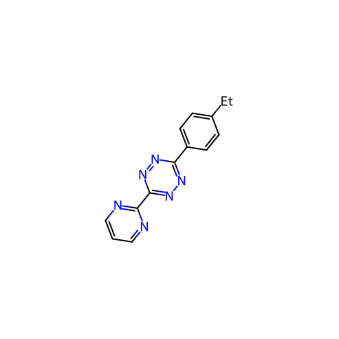 CCc1ccc(-c2nnc(-c3ncccn3)nn2)cc1